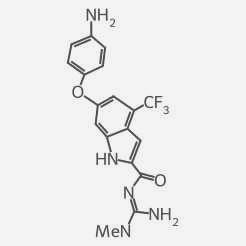 CNC(N)=NC(=O)c1cc2c(C(F)(F)F)cc(Oc3ccc(N)cc3)cc2[nH]1